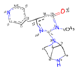 Cn1c(N2CC3CC2CN3)nc(-c2ccncc2)cc1=O